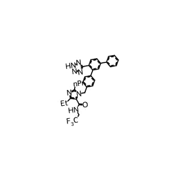 CCCc1nc(CC)c(C(=O)NCC(F)(F)F)n1Cc1ccc(-c2cc(-c3ccccc3)ccc2-c2nn[nH]n2)cc1